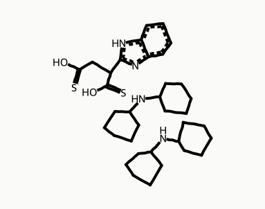 C1CCC(NC2CCCCC2)CC1.C1CCC(NC2CCCCC2)CC1.OC(=S)CC(C(O)=S)c1nc2ccccc2[nH]1